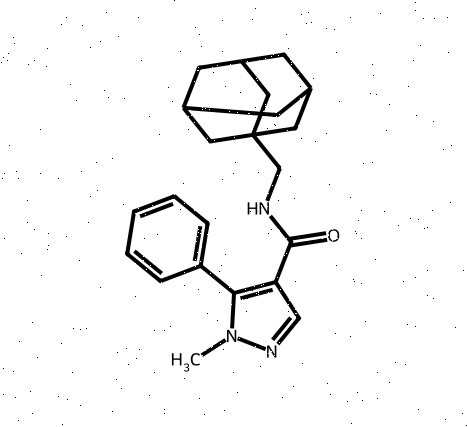 Cn1ncc(C(=O)NCC23CC4CC(CC(C4)C2)C3)c1-c1ccccc1